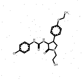 CCOc1ccc(C2CN(CCO)C(=O)C2NC(=O)Nc2ccc(Cl)cc2)cc1